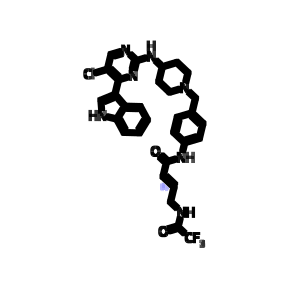 O=C(/C=C/CNC(=O)C(F)(F)F)Nc1ccc(CN2CCC(Nc3ncc(Cl)c(-c4c[nH]c5ccccc45)n3)CC2)cc1